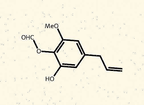 C=CCc1cc(O)c(OC=O)c(OC)c1